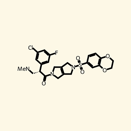 CNC[C@@H](C(=O)N1CC2=C(C1)CN(S(=O)(=O)c1ccc3c(c1)OCCO3)C2)c1cc(F)cc(Cl)c1